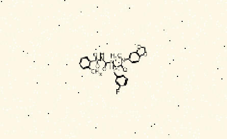 Cc1ccccc1S(=O)(=O)NC(=O)N[C@@H](Cc1cccc(F)c1)C(=O)N(C)c1ccc2c(c1)OCO2